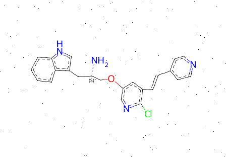 N[C@H](COc1cnc(Cl)c(C=Cc2ccncc2)c1)Cc1c[nH]c2ccccc12